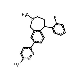 Cc1ccc(-c2ccc3c(c2)CN(C)CCC3c2ccccc2F)nn1